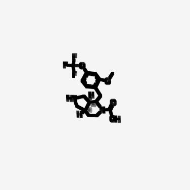 COc1cc(OC(F)(F)F)ccc1CC1[C@@H]2CNC[C@H]2CCN1C(=O)O